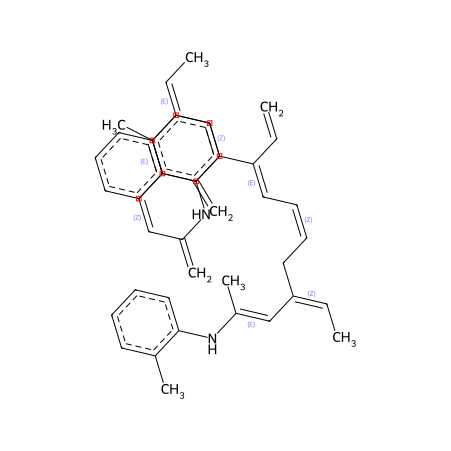 C=C/C(=C\C=C/CC(=C/C)/C=C(\C)Nc1ccccc1C)c1ccccc1NC(=C)/C=C\C(=C/C)C(=C)/C=C\C(=C/C)c1ccccc1